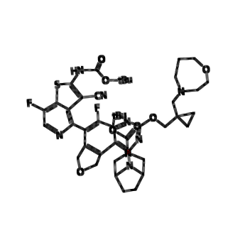 CC(C)(C)OC(=O)Nc1sc2c(F)cnc(-c3c4c(c5c(N6C7CCC6CN(C(=O)OC(C)(C)C)C7)nc(OCC6(CN7CCCOCC7)CC6)nc5c3F)COC4)c2c1C#N